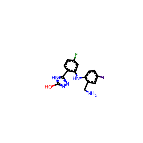 NCc1cc(I)ccc1Nc1cc(F)ccc1-c1nnc(O)[nH]1